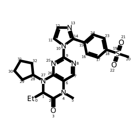 CCC1C(=O)N(C)c2cnc(-n3ccnc3-c3ccc(S(C)(=O)=O)cc3)nc2N1C1CCCC1